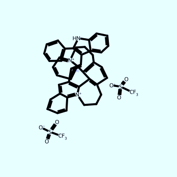 C(=C\c1c(-c2ccccc2)[nH]c2ccccc12)/c1cc2ccccc2[n+]2c1-c1c(ccc3c1-c1cccc[n+]1CCC3)CCC2.O=S(=O)([O-])C(F)(F)F.O=S(=O)([O-])C(F)(F)F